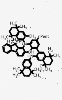 CCCCCc1cc(-c2cc3c(cc2Nc2ccc4c(c2)C(C)(C)CCC4(C)C)C(C)(C)CCC3(C)C)c2c(c1)N(c1cc3c(cc1C)C(C)(C)CCC3(C)C)c1c(ccc3c1C(C)(C)c1ccccc1-3)B2